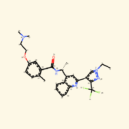 CCn1cc(-c2cc([C@@H](C)NC(=O)c3cc(OCCN(C)C)ccc3C)c3ccccc3n2)c(C(F)(F)F)n1